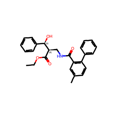 CCOC(=O)[C@H](CNC(=O)c1cc(C)ccc1-c1ccccc1)[C@H](O)c1ccccc1